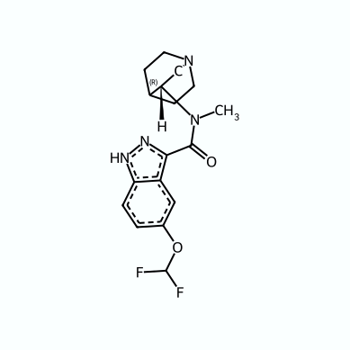 CN(C(=O)c1n[nH]c2ccc(OC(F)F)cc12)[C@H]1CN2CCC1CC2